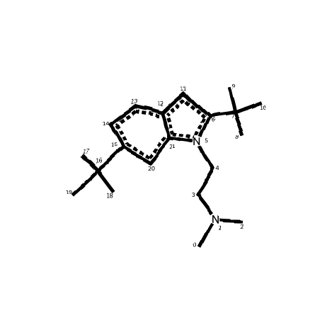 CN(C)CCn1c(C(C)(C)C)cc2ccc(C(C)(C)C)cc21